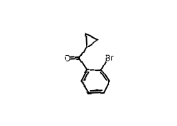 O=C(c1ccccc1Br)C1CC1